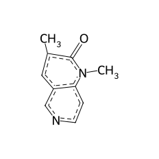 Cc1cc2cnccc2n(C)c1=O